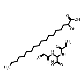 C=CC(=O)NC(NC(=O)C=C)C(=O)O.CCCCCCCCCCCCCCCCC(O)C(=O)O